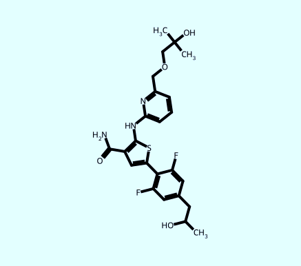 CC(O)Cc1cc(F)c(-c2cc(C(N)=O)c(Nc3cccc(COCC(C)(C)O)n3)s2)c(F)c1